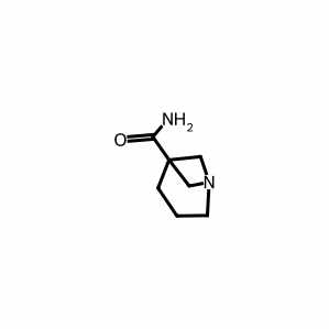 NC(=O)C12CCCN(C1)C2